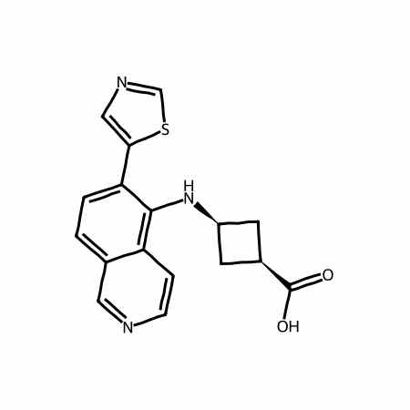 O=C(O)[C@H]1C[C@@H](Nc2c(-c3cncs3)ccc3cnccc23)C1